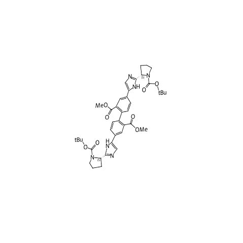 COC(=O)c1cc(-c2cnc([C@@H]3CCCN3C(=O)OC(C)(C)C)[nH]2)ccc1-c1ccc(-c2cnc([C@@H]3CCCN3C(=O)OC(C)(C)C)[nH]2)cc1C(=O)OC